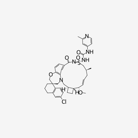 CO[C@H]1/C=C/C[C@H](C)C[S@@](=O)(NC(=O)Nc2ccnc(C)c2)=NC(=O)c2ccc3c(c2)N(C[C@@H]2CC[C@H]21)C[C@@]1(CCCc2cc(Cl)ccc21)CO3